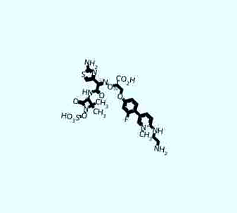 C[n+]1cc(-c2ccc(OC[C@H](O/N=C(\C(=O)N[C@@H]3C(=O)N(OS(=O)(=O)O)C3(C)C)c3csc(N)n3)C(=O)O)cc2F)ccc1NCCN